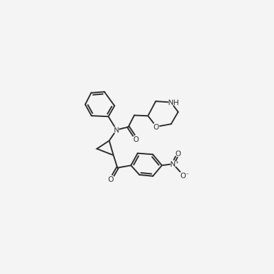 O=C(c1ccc([N+](=O)[O-])cc1)C1CC1N(C(=O)CC1CNCCO1)c1ccccc1